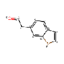 O=CCc1ccc2ccsc2c1